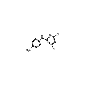 Cc1ccc(Nc2nc(Cl)nc(Cl)n2)cc1